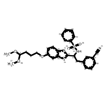 COC(CCCOc1ccc2nc(C(Cc3cccc(C#N)c3)NS(=O)(=O)c3ccccc3)sc2c1)OC